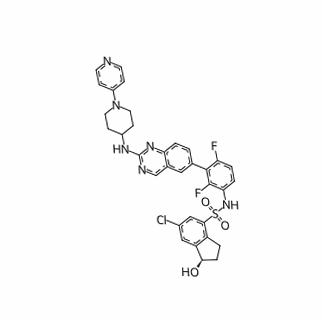 O=S(=O)(Nc1ccc(F)c(-c2ccc3nc(NC4CCN(c5ccncc5)CC4)ncc3c2)c1F)c1cc(Cl)cc2c1CC[C@H]2O